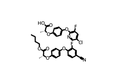 CCCCOC(=O)[C@@H](C)Oc1ccc(Oc2ccc(C#N)cc2F)cc1.C[C@@H](Oc1ccc(Oc2ncc(Cl)cc2F)cc1)C(=O)O